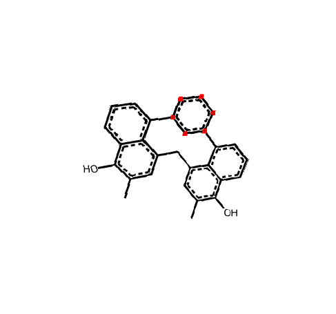 Cc1cc(Cc2cc(C)c(O)c3cccc(-c4ccccc4)c23)c2c(-c3ccccc3)cccc2c1O